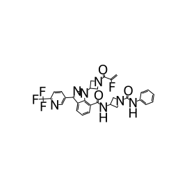 C=C(F)C(=O)N1CC(n2nc(-c3ccc(C(F)(F)F)nc3)c3cccc(C(=O)NC4CN(C(=O)Nc5ccccc5)C4)c32)C1